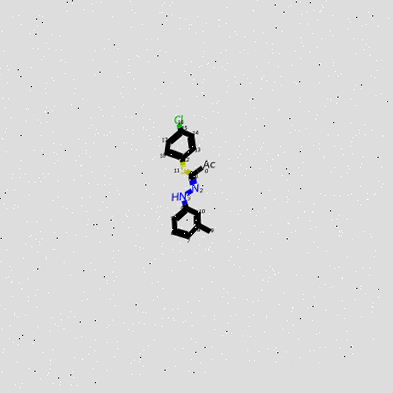 CC(=O)C(=NNc1cccc(C)c1)Sc1ccc(Cl)cc1